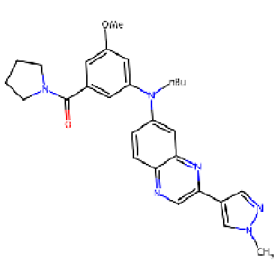 CCCCN(c1cc(OC)cc(C(=O)N2CCCC2)c1)c1ccc2ncc(-c3cnn(C)c3)nc2c1